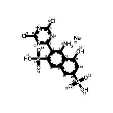 Nc1c(-c2nc(Cl)nc(Cl)n2)c(S(=O)(=O)O)cc2cc(S(=O)(=O)O)cc(O)c12.[Na]